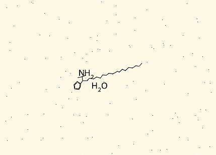 CCCCCCCCCCCCCCCCCCC(c1ccccc1)C(C)(C)N.O